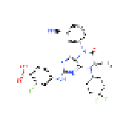 C[C@@H]1C(=O)N(c2cccc(C#N)c2)c2cnc(Nc3ccc(C(=O)O)c(F)c3)nc2N1C1CCC(F)(F)CC1